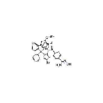 CCOc1cc(OC(C)C)c(F)c(C(Nc2ccc(/C(N)=N/O)cc2)c2nc(Br)cn2C(c2ccccc2)(c2ccccc2)c2ccccc2)c1